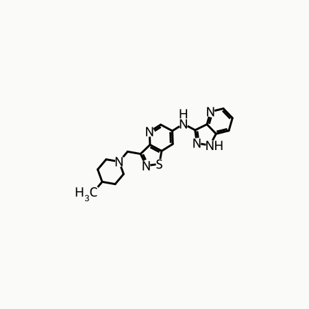 CC1CCN(Cc2nsc3cc(Nc4n[nH]c5cccnc45)cnc23)CC1